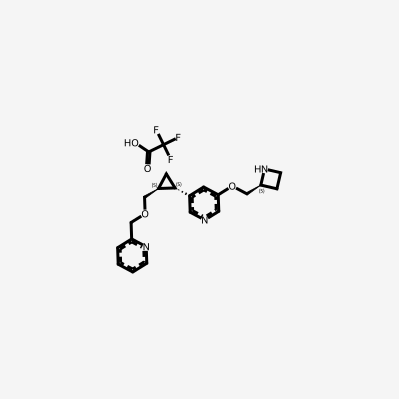 O=C(O)C(F)(F)F.c1ccc(COC[C@H]2C[C@@H]2c2cncc(OC[C@@H]3CCN3)c2)nc1